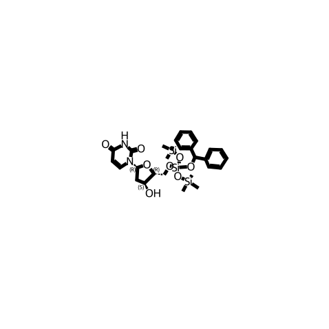 C[Si](C)(C)O[Si](OC[C@H]1O[C@@H](n2ccc(=O)[nH]c2=O)C[C@@H]1O)(OC(c1ccccc1)c1ccccc1)O[Si](C)(C)C